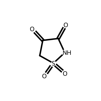 O=C1CS(=O)(=O)NC1=O